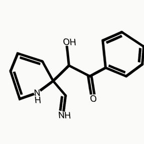 N=CC1(C(O)C(=O)c2ccccc2)C=CC=CN1